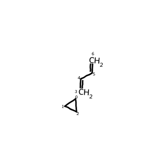 C1CC1.C=CC=C